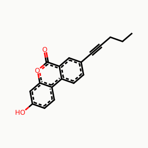 CCCC#Cc1ccc2c(c1)c(=O)oc1cc(O)ccc12